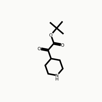 CC(C)(C)OC(=O)C(=O)C1CCNCC1